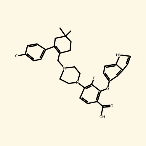 CC1(C)CCC(CN2CCN(c3ccc(C(=O)O)c(Oc4ccc5[nH]ccc5c4)c3F)CC2)=C(c2ccc(Cl)cc2)C1